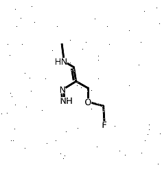 CN/C=C(/COCF)N=N